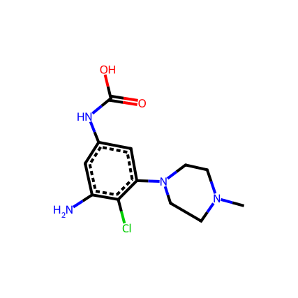 CN1CCN(c2cc(NC(=O)O)cc(N)c2Cl)CC1